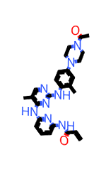 C=CC(=O)Nc1cccc(Nc2nc(Nc3ccc(N4CCN(C(C)=O)CC4)cc3C)ncc2C)n1